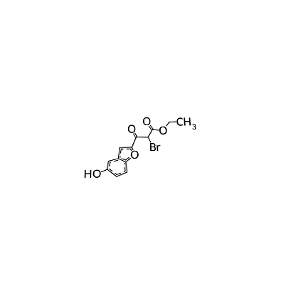 CCOC(=O)C(Br)C(=O)c1cc2cc(O)ccc2o1